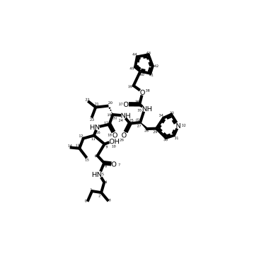 CCC(C)CNC(=O)CC(O)C(CC(C)C)NC(=O)[C@H](CC(C)C)NC(=O)[C@H](Cc1ccncc1)NC(=O)OCc1ccccc1